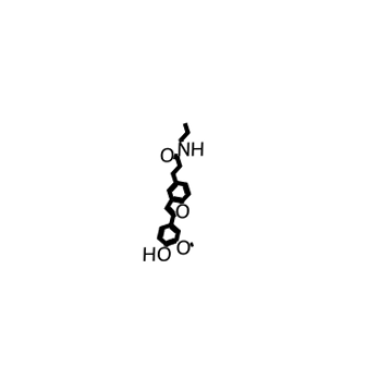 CCCNC(=O)CCc1ccc2oc(-c3ccc(O)c(OC)c3)cc2c1